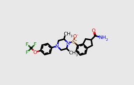 CC1CN(c2ccc(OC(F)(F)F)cc2)CC(C)N1[S+]([O-])c1cccc2c1CC(C(N)=O)C2